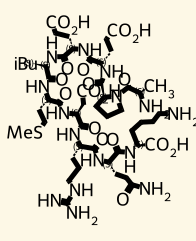 CC[C@H](C)[C@H](NC(=O)[C@H](CCC(=O)O)NC(=O)[C@H](CCC(=O)O)NC(=O)[C@@H]1CCCN1C(=O)[C@H](C)N)C(=O)N[C@@H](CCSC)C(=O)N[C@@H](CC(=O)O)C(=O)N[C@@H](CCCNC(=N)N)C(=O)N[C@@H](CCC(N)=O)C(=O)N[C@@H](CCCCN)C(=O)O